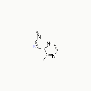 C=N/C=C\c1nccnc1C